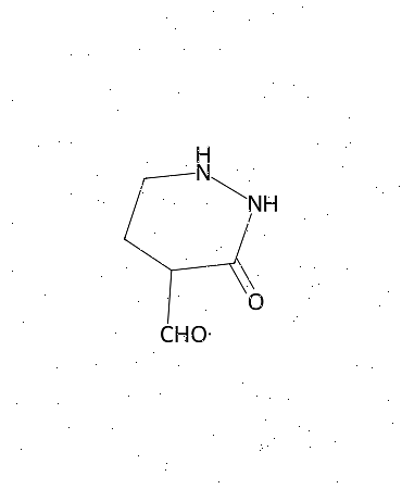 O=[C]C1CCNNC1=O